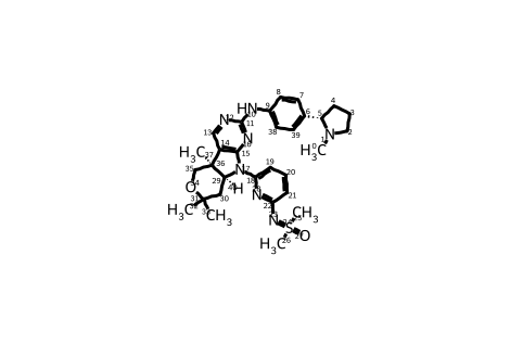 CN1CCC[C@H]1c1ccc(Nc2ncc3c(n2)N(c2cccc(N=S(C)(C)=O)n2)[C@H]2CC(C)(C)OC[C@@]32C)cc1